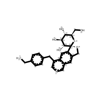 CCc1ccc(Cc2cncc3cc4c(cc23)[C@]2(OC4)S[C@H](CO)[C@@H](O)[C@H](O)[C@H]2O)cc1